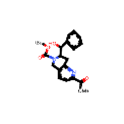 COC(=O)c1ccc2c(n1)CC(C(O)c1ccccc1)N(C(=O)OC(C)(C)C)C2